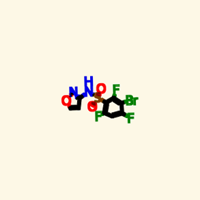 O=S(=O)(Nc1ccon1)c1c(F)cc(F)c(Br)c1F